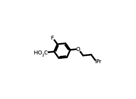 CC(C)CCOc1ccc(C(=O)O)c(F)c1